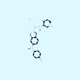 CCc1ccc(N(C)c2ccc3c(c2)CN[C@@H]3CNc2cnccc2C(=O)O)cc1